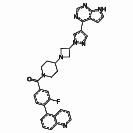 O=C(c1ccc(-c2cccc3ncccc23)c(F)c1)N1CCC(N2CC(n3cc(-c4ncnc5[nH]ccc45)cn3)C2)CC1